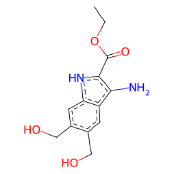 CCOC(=O)c1[nH]c2cc(CO)c(CO)cc2c1N